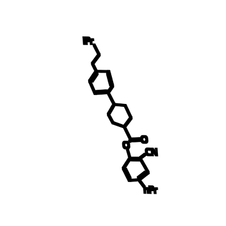 CCCc1ccc(OC(=O)C2CCC(c3ccc(CCC(C)C)cc3)CC2)c(C#N)c1